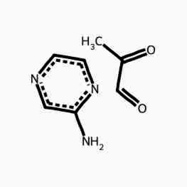 CC(=O)C=O.Nc1cnccn1